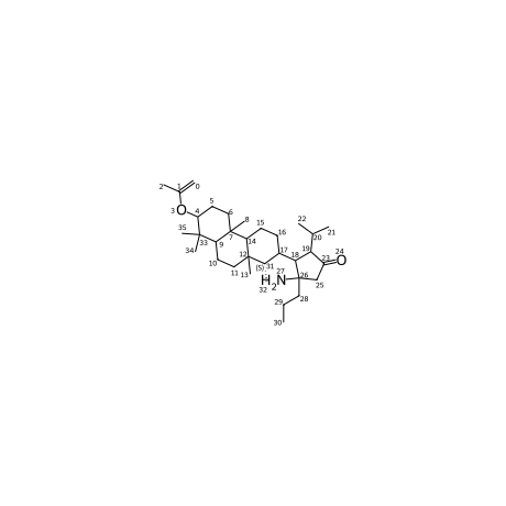 C=C(C)OC1CCC2(C)C(CCC3(C)C2CCC(C2C(C(C)C)C(=O)CC2(N)CCC)[C@@H]3C)C1(C)C